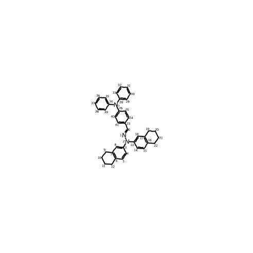 C(=NN(c1ccc2c(c1)CCCC2)c1ccc2c(c1)CCCC2)c1ccc(N(c2ccccc2)c2ccccc2)cc1